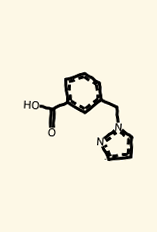 O=C(O)c1cccc(Cn2cc[c]n2)c1